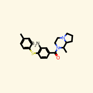 Cc1ccc(Sc2ccc(C(=O)N3CCN4CCCC4C3C)cc2[N+](=O)[O-])cc1